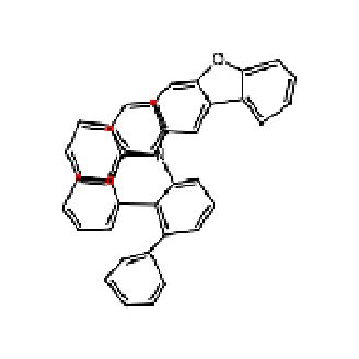 c1ccc(-c2ccccc2-c2c(-c3ccccc3)cccc2N(c2ccccc2)c2ccc3oc4ccccc4c3c2)cc1